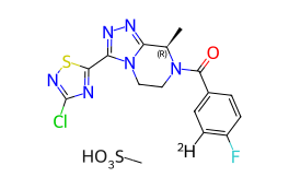 CS(=O)(=O)O.[2H]c1cc(C(=O)N2CCn3c(-c4nc(Cl)ns4)nnc3[C@H]2C)ccc1F